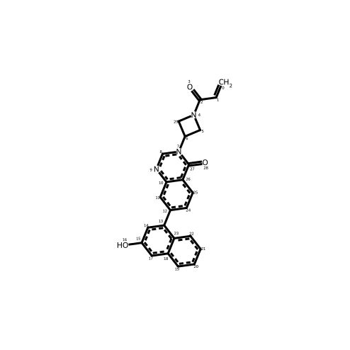 C=CC(=O)N1CC(n2cnc3cc(-c4cc(O)cc5ccccc45)ccc3c2=O)C1